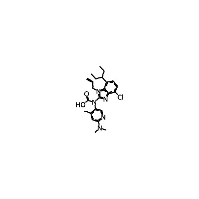 C=CCn1c(N(C(=O)O)c2cnc(N(C)C)cc2C)nc2c(Cl)ccc(C(CC)CC)c21